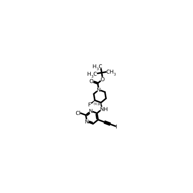 CC(C)(C)OC(=O)N1CC[C@@H](Nc2nc(Cl)ncc2C#CI)[C@@H](F)C1